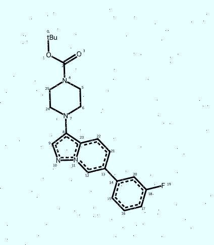 CC(C)(C)OC(=O)N1CCN(c2cnn3cc(-c4cccc(F)c4)ccc23)CC1